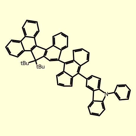 CC(C)(C)C1(C(C)(C)C)c2cc(-c3c4ccccc4c(-c4ccc5c(c4)c4ccccc4n5-c4ccccc4)c4ccccc34)c3ccccc3c2-c2c1c1ccccc1c1ccccc21